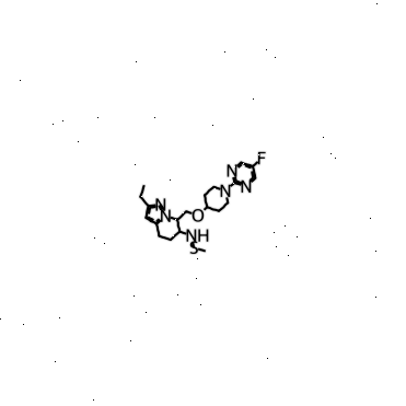 CCc1cc2n(n1)C(COC1CCN(c3ncc(F)cn3)CC1)C(NSC)CC2